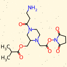 CC(C)C(=O)OCC1CN(C(=O)CCN)CCN1CC(=O)ON1C(=O)CCC1=O